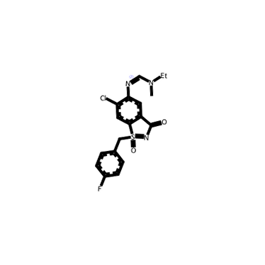 CCN(C)/C=N\c1cc2c(cc1Cl)S(=O)(Cc1ccc(F)cc1)=NC2=O